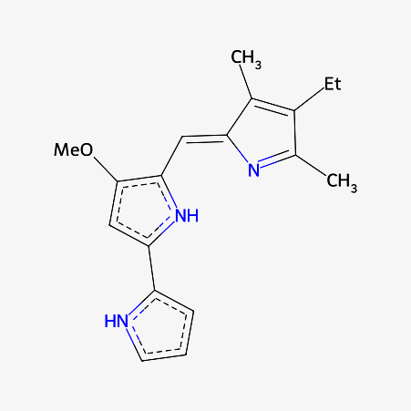 CCC1=C(C)C(=Cc2[nH]c(-c3ccc[nH]3)cc2OC)N=C1C